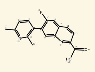 Cc1ccc(-c2cc3nc(C(=O)O)ccc3cc2F)c(C)n1